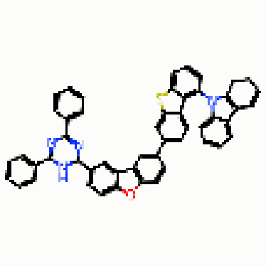 C1=Cc2c(n(-c3cccc4sc5cc(-c6ccc7oc8ccc(C9N=C(c%10ccccc%10)N=C(c%10ccccc%10)N9)cc8c7c6)ccc5c34)c3ccccc23)CC1